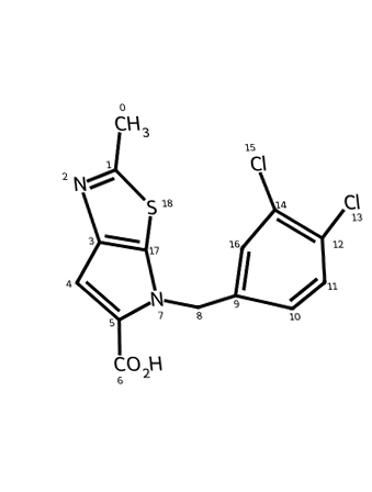 Cc1nc2cc(C(=O)O)n(Cc3ccc(Cl)c(Cl)c3)c2s1